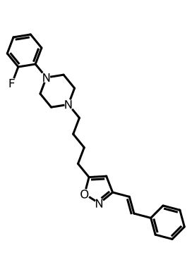 Fc1ccccc1N1CCN(CCCCc2cc(C=Cc3ccccc3)no2)CC1